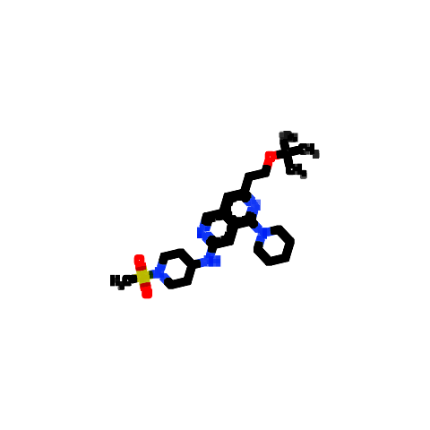 CC(C)(C)[Si](C)(C)OCCc1cc2cnc(NC3CCN(S(C)(=O)=O)CC3)cc2c(N2CCCCC2)n1